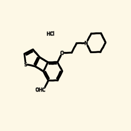 Cl.O=Cc1ccc(OCCN2CCCCC2)c2c1-c1sccc1-2